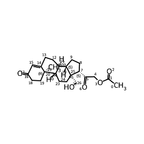 CC(=O)OCC(=O)[C@H]1CC[C@H]2[C@@H]3CCC4=CC(=O)CC[C@]4(C)[C@H]3CC[C@]12CO